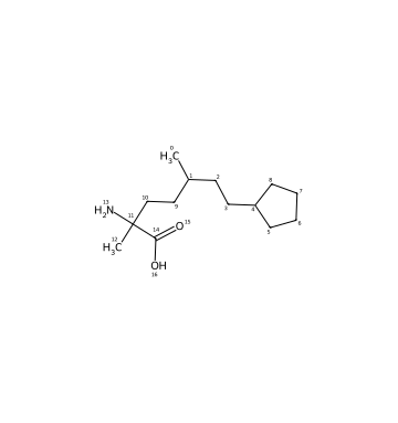 CC(CCC1CCCC1)CCC(C)(N)C(=O)O